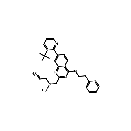 C=CCN(C)Cc1nc(NCCc2ccccc2)c2ccc(-c3ncccc3C(F)(F)F)cc2n1